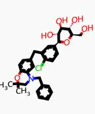 CC1(C)CN(Cc2ccccc2)c2cc(Cc3cc([C@@H]4O[C@H](CO)[C@@H](O)[C@H](O)[C@H]4O)ccc3Cl)ccc2O1